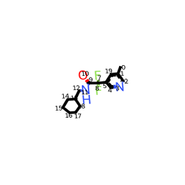 Cc1cncc(C(F)(F)C(=O)NCC2CCCCC2)c1